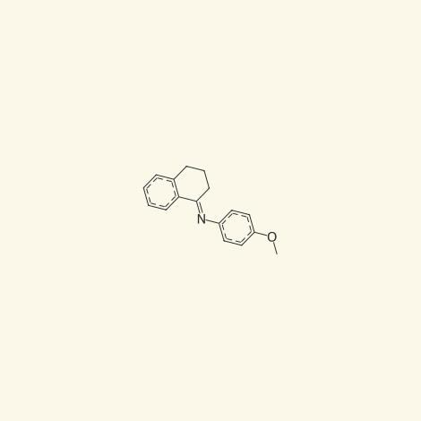 COc1ccc(N=C2CCCc3ccccc32)cc1